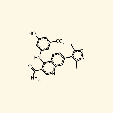 Cc1noc(C)c1-c1ccc2c(Nc3cc(O)cc(C(=O)O)c3)c(C(N)=O)cnc2c1